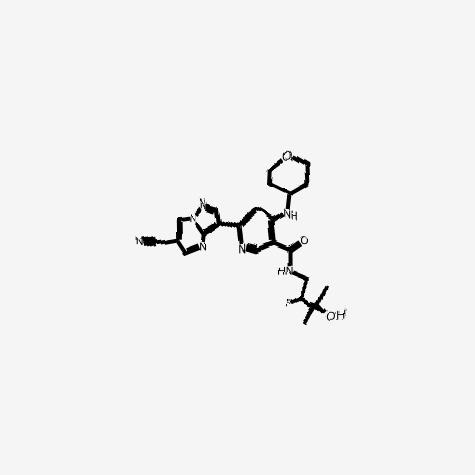 CC(C)(O)C(F)CNC(=O)c1cnc(-c2cnn3cc(C#N)cnc23)cc1NC1CCOCC1